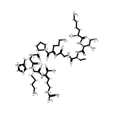 CC[C@H](NC(=O)[C@@H](NC(=O)[C@@H](N)CCCCN)[C@@H](O)CN)C(=O)NCC(=O)/N=C(\CCCN)C(=O)N1CCC[C@H]1C(=O)N[C@@H](Cc1cnc[nH]1)C(=O)N[C@@H](CCCCN)C(=O)N/C(=C\CCNC(=N)N)C(=O)O